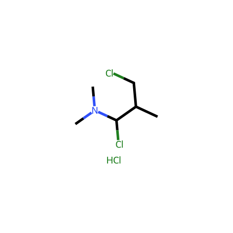 CC(CCl)C(Cl)N(C)C.Cl